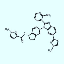 Cc1csc(-c2ccc3nc(-c4cccnc4N)n(-c4ccc5c(c4)CC[C@@H]5NC(=O)c4ccn(C)n4)c3n2)n1